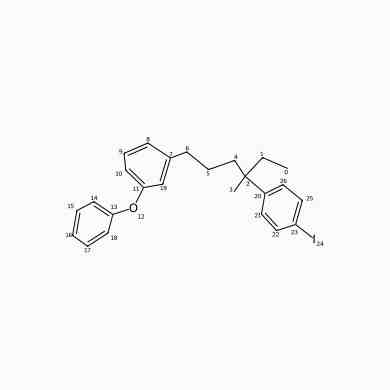 CCC(C)(CCCc1cccc(Oc2ccccc2)c1)c1ccc(I)cc1